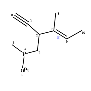 C#CC(CP(C)CCC)/C(C)=C/C